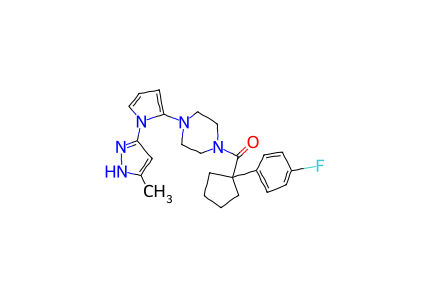 Cc1cc(-n2cccc2N2CCN(C(=O)C3(c4ccc(F)cc4)CCCC3)CC2)n[nH]1